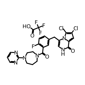 O=C(O)C(F)(F)F.O=C(c1cc(Cc2c[nH]c(=O)c3cc(Cl)c(Cl)n23)ccc1F)N1CCCN(c2ncccn2)CC1